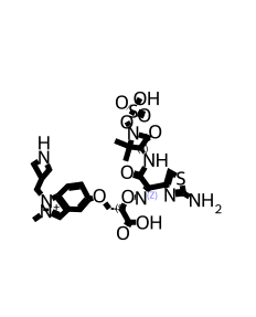 C[n+]1cc2cc(OC[C@H](O/N=C(\C(=O)N[C@@H]3C(=O)N(OS(=O)(=O)O)C3(C)C)c3csc(N)n3)C(=O)O)ccc2n1CC1CNC1